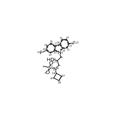 CS(=O)(=O)N(CC(O)Cn1c2cc(F)ccc2c2ccc(F)cc21)C1CCC1